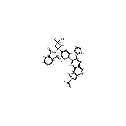 C=C(C)c1cc2ncc3nc(-c4cccs4)c(-c4ccc([C@]5(N6C(=O)c7ccccc7C6=O)C[C@@](C)(O)C5)cc4)nc3n2n1